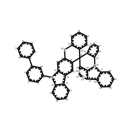 c1ccc(-c2cccc(-n3c4ccccc4c4cc5c(cc43)Sc3ccccc3C53c4ccccc4-n4c5ccccc5c5cccc3c54)c2)cc1